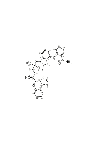 CC(C)(CC1CN=C2C(Oc3ncccc3C(N)=O)=CC=CN21)NC[C@H](O)COc1ccccc1-c1ccon1